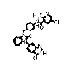 Cc1ncc(Cl)cc1C(=O)NC1CCC(Cn2c(=O)n(-c3ccc4c(=O)[nH]cnc4c3)c3ccccc32)CC1